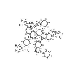 CC(C)(C)c1ccc(Nc2ccc(C(C)(C)C)cc2-c2c3c(c4c5cc(C(C)(C)C)ccc5n5c4c2Bc2cc4occ(-c6ccccc6)c4cc2-5)-c2ccccc2C3(C)C)cc1